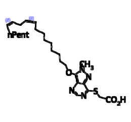 CCCCC/C=C\C/C=C\CCCCCCCCOc1c2ncnc(SCC(=O)O)c2nn1C